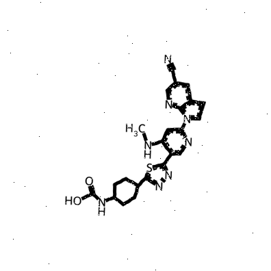 CNc1cc(-n2ccc3cc(C#N)cnc32)ncc1-c1nnc(C2CCC(NC(=O)O)CC2)s1